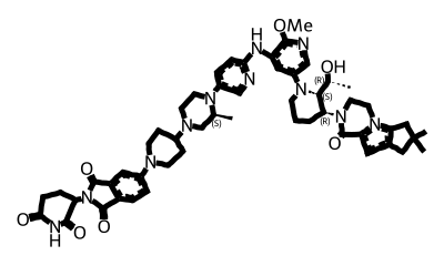 COc1ncc(N2CCC[C@@H](N3CCn4c(cc5c4CC(C)(C)C5)C3=O)[C@H]2[C@@H](C)O)cc1Nc1ccc(N2CCN(C3CCN(c4ccc5c(c4)C(=O)N(C4CCC(=O)NC4=O)C5=O)CC3)C[C@@H]2C)cn1